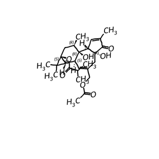 CC(=O)OCC1=C[C@H]2[C@@H]3C(C)(C)[C@]3(OC(=O)C(C)C)C[C@@H](C)[C@]2(O)[C@@H]2C=C(C)C(=O)[C@@]2(O)C1